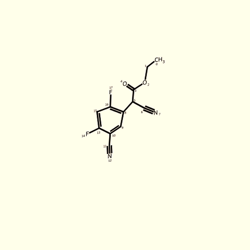 CCOC(=O)C(C#N)c1cc(C#N)c(F)cc1F